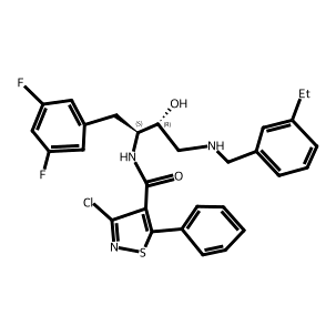 CCc1cccc(CNC[C@@H](O)[C@H](Cc2cc(F)cc(F)c2)NC(=O)c2c(Cl)nsc2-c2ccccc2)c1